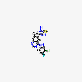 COc1cc2ncnc(Nc3ccc(F)c(Cl)c3)c2cc1C1CNC(=S)N1